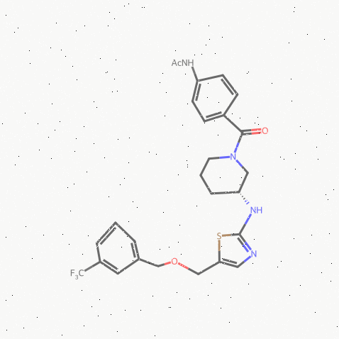 CC(=O)Nc1ccc(C(=O)N2CCC[C@@H](Nc3ncc(COCc4cccc(C(F)(F)F)c4)s3)C2)cc1